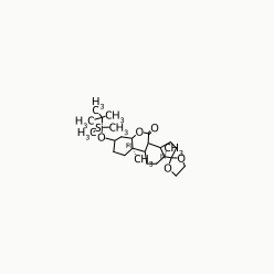 CC(C)(C)[Si](C)(C)OC1CC[C@@]2(C)C(C1)OC(=O)C1C2CC[C@@]2(C)C1CCC21OCCO1